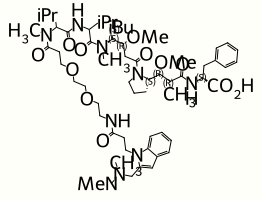 CC[C@H](C)[C@@H]([C@@H](CC(=O)N1CCC[C@H]1[C@H](OC)[C@@H](C)C(=O)N[C@@H](Cc1ccccc1)C(=O)O)OC)N(C)C(=O)C(NC(=O)C(C(C)C)N(C)C(=O)CCOCCOCCNC(=O)CCn1c(CN(C)NC)cc2ccccc21)C(C)C